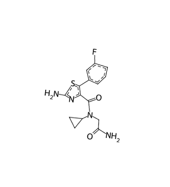 NC(=O)CN(C(=O)c1nc(N)sc1-c1cccc(F)c1)C1CC1